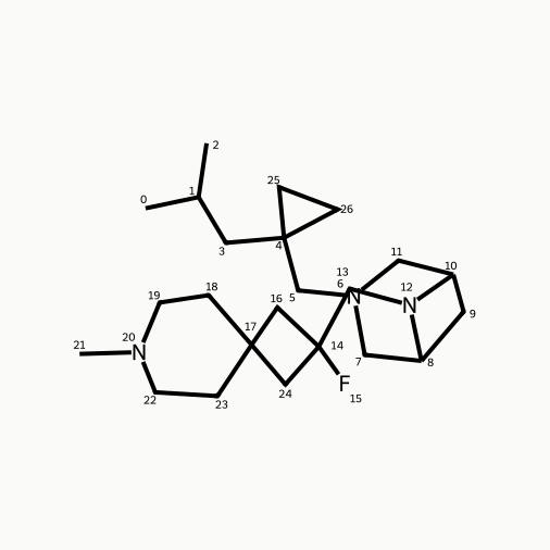 CC(C)CC1(CN2CC3CC(C2)N3CC2(F)CC3(CCN(C)CC3)C2)CC1